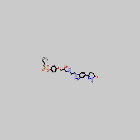 CCCCS(=O)(=O)Oc1ccc(OCC(O)CNCCn2nnc3cc(C4=NNC(=O)CC4)ccc32)cc1